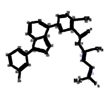 C/C(F)=C\C=C(/C)NC(=O)c1cc(-c2cccn3c(-c4cccc(F)c4)ncc23)cnc1C